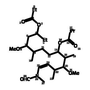 CCC(=O)OC(CC)CC(OC)C(C)CCC(OC(=O)C(C)C)C(C)C(OC)C(C)C=CN(C)C=O